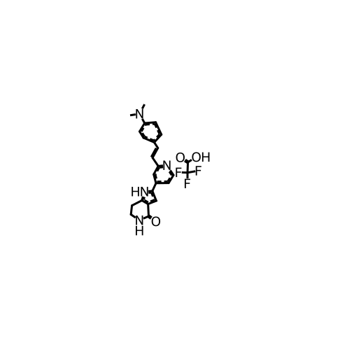 CN(C)c1ccc(C=Cc2cc(-c3cc4c([nH]3)CCNC4=O)ccn2)cc1.O=C(O)C(F)(F)F